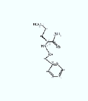 NC(=O)[C@H](CCC(=O)O)NOCc1ccccc1